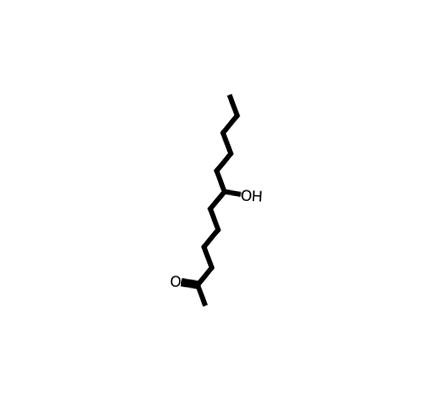 CCCCCC(O)CCCCC(C)=O